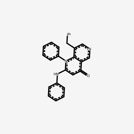 CC(C)Cc1cncc2c(=O)cc(Nc3ccccc3)n(-c3ccccc3)c12